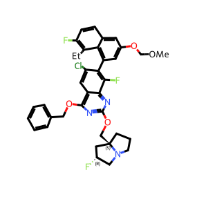 CCc1c(F)ccc2cc(OCOC)cc(-c3c(Cl)cc4c(OCc5ccccc5)nc(OC[C@@]56CCCN5C[C@H](F)C6)nc4c3F)c12